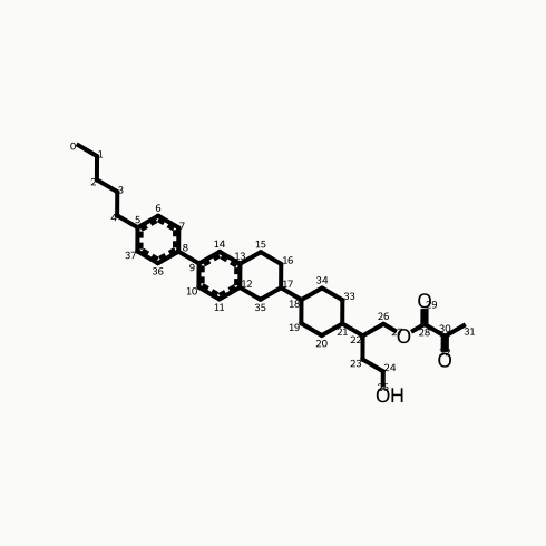 CCCCCc1ccc(-c2ccc3c(c2)CCC(C2CCC(C(CCO)COC(=O)C(C)=O)CC2)C3)cc1